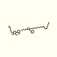 C=C1C[C@@H](CCCCCCOC(CCCCCCCCCC/C=C\C/C=C\CCCCC)CC2CCCC[C@H]2C)CC[C@]1(C)C1CC[C@@]2(C)C(CC[C@@H]2[C@H](C)CCCC(C)C)C1CC